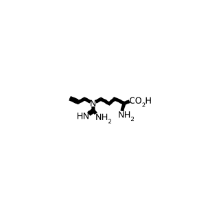 C=CCN(CCCC(N)C(=O)O)C(=N)N